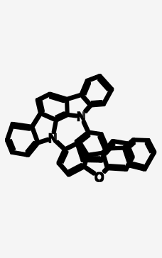 c1ccc(-c2cccc(-n3c4ccccc4c4ccc5c6ccccc6n(-c6ccc7oc8ccccc8c7c6)c5c43)c2)cc1